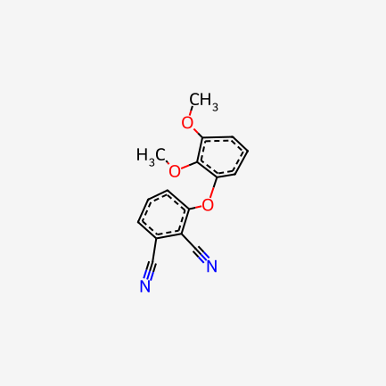 COc1cccc(Oc2cccc(C#N)c2C#N)c1OC